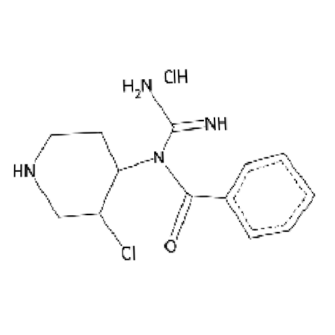 Cl.N=C(N)N(C(=O)c1ccccc1)C1CCNCC1Cl